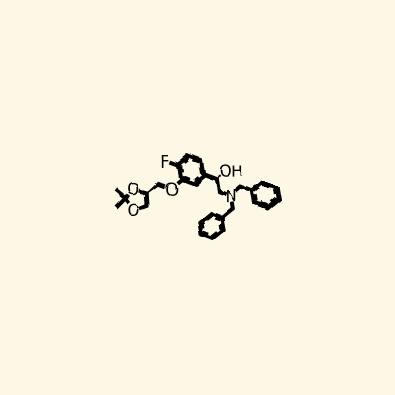 CC1(C)OC[C@H](COc2cc([C@H](O)CN(Cc3ccccc3)Cc3ccccc3)ccc2F)O1